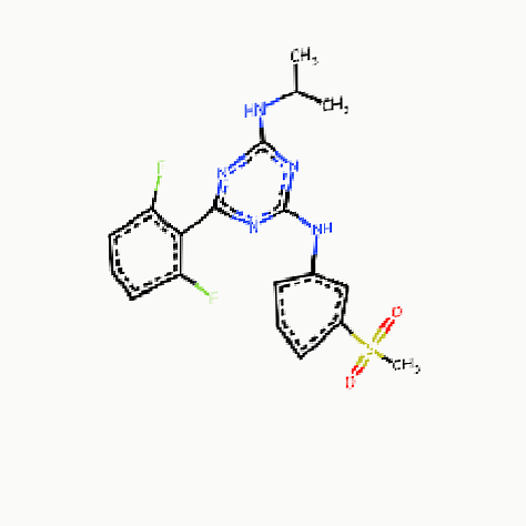 CC(C)Nc1nc(Nc2cccc(S(C)(=O)=O)c2)nc(-c2c(F)cccc2F)n1